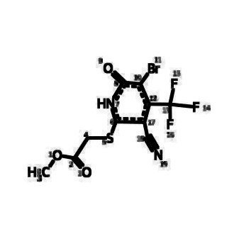 COC(=O)CSc1[nH]c(=O)c(Br)c(C(F)(F)F)c1C#N